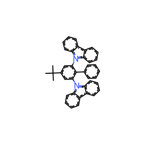 CC(C)(C)c1cc(-n2c3ccccc3c3ccccc32)c(-c2ccccc2)c(-n2c3ccccc3c3ccccc32)c1